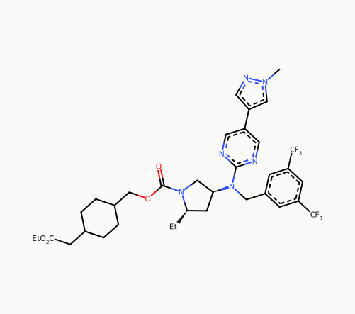 CCOC(=O)CC1CCC(COC(=O)N2C[C@@H](N(Cc3cc(C(F)(F)F)cc(C(F)(F)F)c3)c3ncc(-c4cnn(C)c4)cn3)C[C@H]2CC)CC1